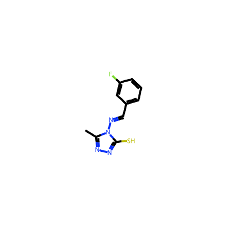 Cc1nnc(S)n1N=Cc1cccc(F)c1